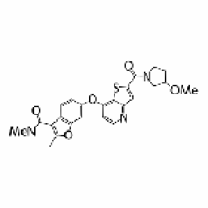 CNC(=O)c1c(C)oc2cc(Oc3ccnc4cc(C(=O)N5CCC(OC)C5)sc34)ccc12